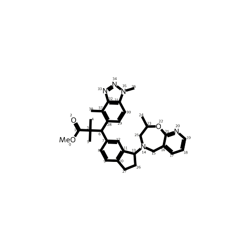 COC(=O)C(C)(C)C(c1ccc2c(c1)C(N1Cc3cccnc3OC(C)C1)CC2)c1ccc2c(nnn2C)c1C